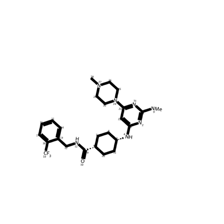 CNc1nc(N[C@H]2CC[C@@H](C(=O)NCc3ccccc3C(F)(F)F)CC2)cc(N2CCN(C)CC2)n1